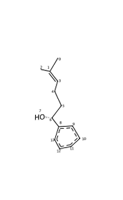 CC(C)=CCC[C@@H](O)c1ccccc1